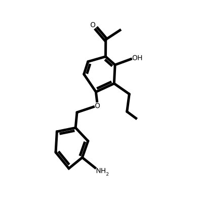 CCCc1c(OCc2cccc(N)c2)ccc(C(C)=O)c1O